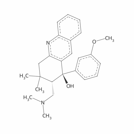 COc1cccc([C@@]2(O)c3cc4ccccc4nc3CC(C)(C)[C@H]2CN(C)C)c1